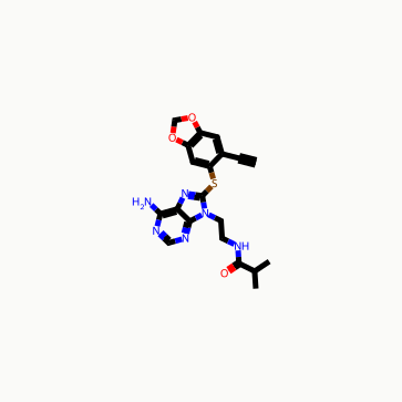 C#Cc1cc2c(cc1Sc1nc3c(N)ncnc3n1CCNC(=O)C(C)C)OCO2